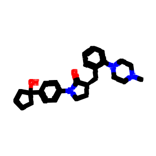 CN1CCN(c2ccccc2C[C@H]2CCN(c3ccc(C4(O)CCCC4)cc3)C2=O)CC1